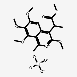 COC(=O)C(C)c1c(OC)[o+]c(C)c2c(OC)c(OC)c(OC)cc12.[O-][Cl+3]([O-])([O-])[O-]